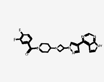 O=C(c1ccc(F)c(F)c1)N1CCC(N2C[C](n3cc(-c4ncnc5[nH]ccc45)cn3)C2)CC1